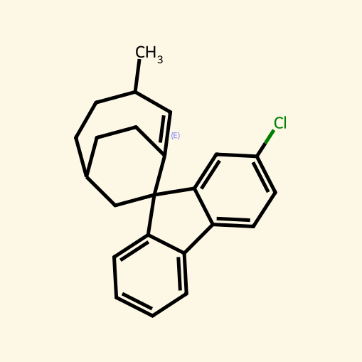 CC1/C=C2\CCC(CC1)CC21c2ccccc2-c2ccc(Cl)cc21